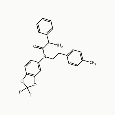 NC(C(=O)N(CCc1ccc(C(F)(F)F)cc1)c1ccc2c(c1)OC(F)(F)O2)c1ccccc1